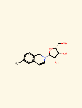 Cc1ccc2c(c1)C=CN([C@@H]1O[C@H](CO)[C@H](O)[C@@H]1O)C2